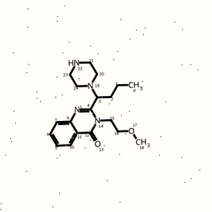 CCCC(c1nc2ccccc2c(=O)n1CCOC)N1CCNCC1